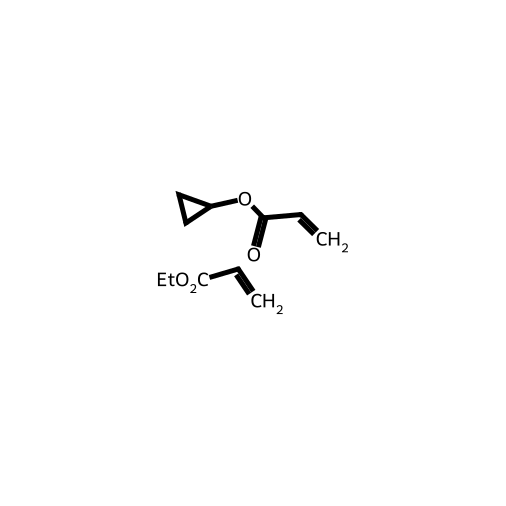 C=CC(=O)OC1CC1.C=CC(=O)OCC